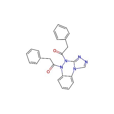 O=C(Cc1ccccc1)N1c2ccccc2-n2cnnc2N1C(=O)Cc1ccccc1